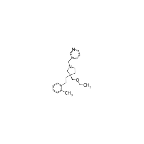 CCOC[C@]1(CCc2ccccc2C)CCN(Cc2cccnc2)C1